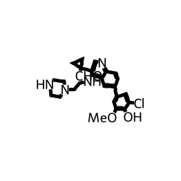 COc1cc(-c2ccc3ncc(C4(C=O)CC4)c(NCCN4CCNCC4)c3c2)cc(Cl)c1O